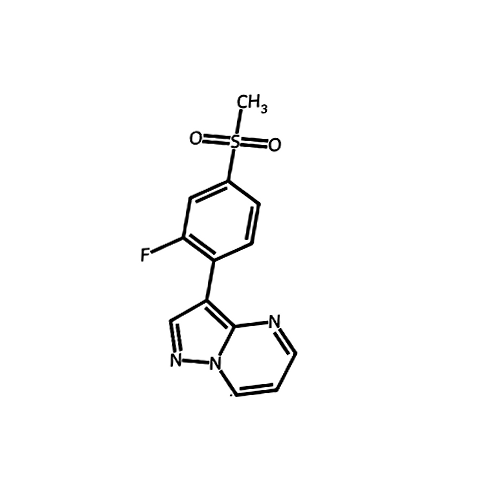 CS(=O)(=O)c1ccc(-c2cnn3[c]ccnc23)c(F)c1